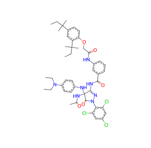 CCN(CC)c1ccc(NC2(NC(C)=O)C(=O)N(c3c(Cl)cc(Cl)cc3Cl)N=C2NC(=O)c2cccc(NC(=O)COc3ccc(C(C)(C)CC)cc3C(C)(C)CC)c2)cc1